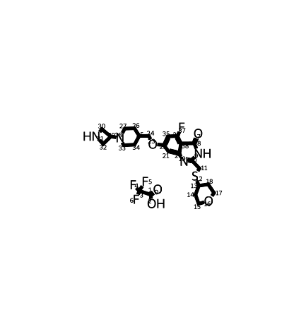 O=C(O)C(F)(F)F.O=c1[nH]c(CSC2CCOCC2)nc2cc(OCC3CCN(C4CNC4)CC3)cc(F)c12